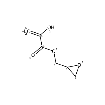 C=C(O)C(=O)OCC1CO1